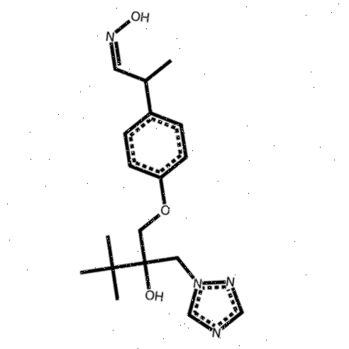 CC(/C=N\O)c1ccc(OCC(O)(Cn2cncn2)C(C)(C)C)cc1